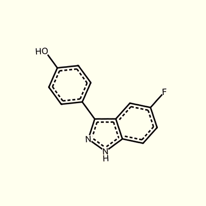 Oc1ccc(-c2n[nH]c3ccc(F)cc23)cc1